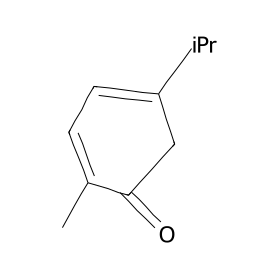 CC1=CC=C(C(C)C)CC1=O